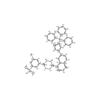 CS(=O)(=O)c1cc(F)cc(N2CCN(c3ncnc4ccc(-c5cnn(C(c6ccccc6)(c6ccccc6)c6ccccc6)c5)cc34)CC2)c1